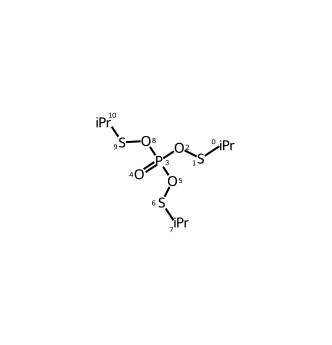 CC(C)SOP(=O)(OSC(C)C)OSC(C)C